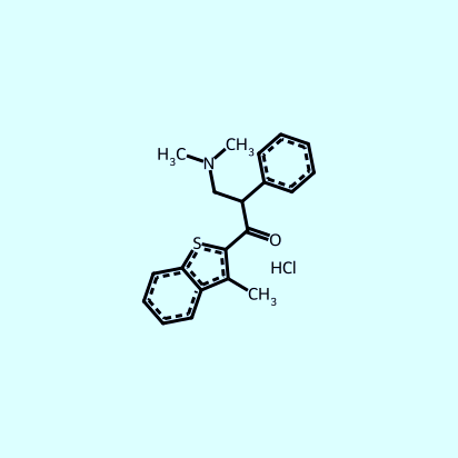 Cc1c(C(=O)C(CN(C)C)c2ccccc2)sc2ccccc12.Cl